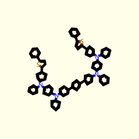 C1=C(c2ccccc2)SC(c2ccc(N(c3ccccc3)c3ccc(N(c4ccccc4)c4ccc(-c5ccc(-c6ccc(N(c7ccccc7)c7ccc(N(c8ccccc8)c8ccc(-c9ccc(-c%10ccccc%10)s9)cc8)cc7)cc6)cc5)cc4)cc3)cc2)C1